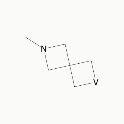 CN1CC2([CH2][V][CH2]2)C1